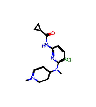 CN1CCC(N(C)c2cccc(NC(=O)C3CC3)n2)CC1.Cl